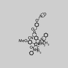 COc1ccc(-c2c(C(=O)Nc3ccccc3)c(C)n(C)c2-c2cc3c(cc2C(=O)N2Cc4ccccc4C[C@H]2C)CN(C(=O)Cc2ccc(OCCN4CCOCC4)cc2)CC3)cc1C#N